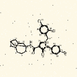 O=C(NC12CCCC3CC(CC3C1)C2)c1cn(Cc2ccc(Cl)cc2Cl)n(-c2ccc(Br)cc2)c1=O